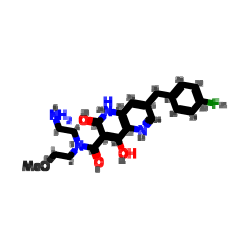 COCCN(CCN)C(=O)c1c(O)c2ncc(Cc3ccc(F)cc3)cc2[nH]c1=O